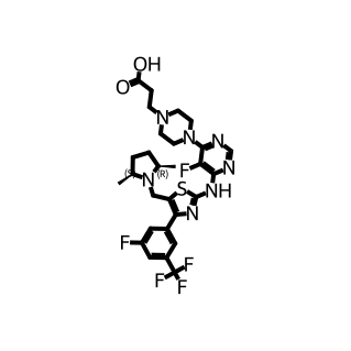 C[C@@H]1CC[C@H](C)N1Cc1sc(Nc2ncnc(N3CCN(CCC(=O)O)CC3)c2F)nc1-c1cc(F)cc(C(F)(F)F)c1